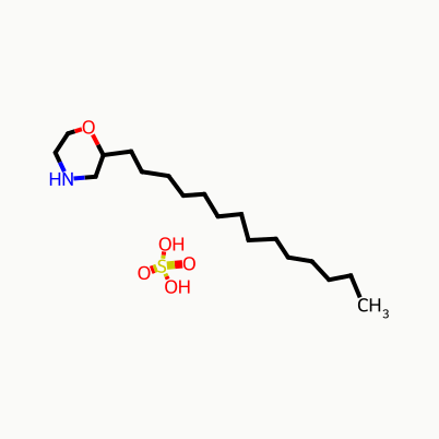 CCCCCCCCCCCCCCC1CNCCO1.O=S(=O)(O)O